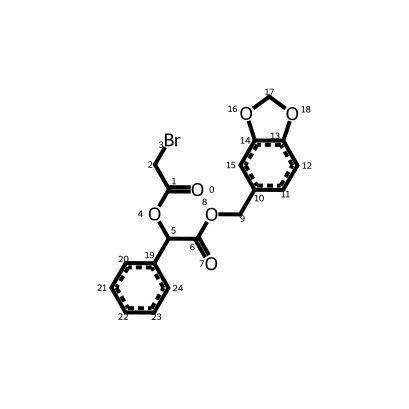 O=C(CBr)OC(C(=O)OCc1ccc2c(c1)OCO2)c1ccccc1